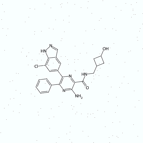 Nc1nc(-c2ccccc2)c(-c2cc(Cl)c3[nH]ncc3c2)nc1C(=O)NCC1CC(O)C1